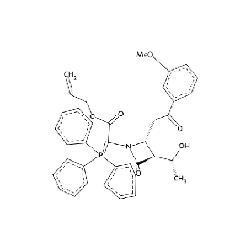 C=CCOC(=O)C(N1C(=O)[C@H]([C@@H](C)O)[C@H]1CC(=O)c1cccc(OC)c1)=P(c1ccccc1)(c1ccccc1)c1ccccc1